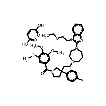 CCOCCn1c(N2CCCN(CCC3(c4ccc(F)cc4)CCN(C(=O)c4cc(OC)c(OC)c(OC)c4)C3)CC2)nc2ccccc21.O=C(O)/C=C\C(=O)O